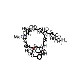 C=C(NC(=O)c1csc(-c2nc3c(cc2O)-c2nc(cs2)C(=O)N[C@@H]([C@@H](C)O)C(=O)N/C(=C(\C)OC)c2nc(cs2)C(=O)N[C@@H]2c4nc(cs4)C(=O)N[C@@H](COC(=O)c4[nH]c5c6c4COC2[C@H](O)C(=O)OCC6=CCC5)c2nc-3cs2)n1)C(N)=O